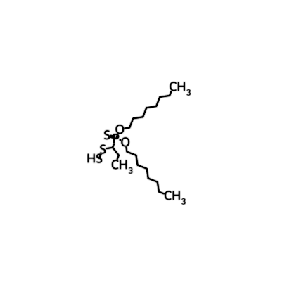 CCCCCCCCOP(=S)(OCCCCCCCC)C(CC)SS